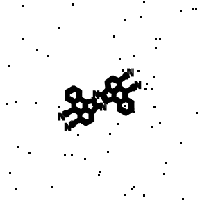 N#Cc1ccc2c3nc4c(nc3c3c5ccccc5c(C#N)c1c23)c1ccc(C#N)c2c(C#N)c3ccccc3c4c21